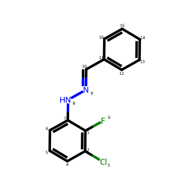 Fc1c(Cl)cccc1N/N=C/c1ccccc1